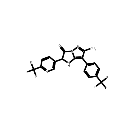 Cc1nn2c(c1-c1ccc(C(F)(F)F)cc1)NC(c1ccc(C(F)(F)F)nc1)C2=O